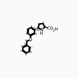 O=C(O)[C@@H]1CC[C@H](c2cccc(OCc3ccccc3)c2)N1